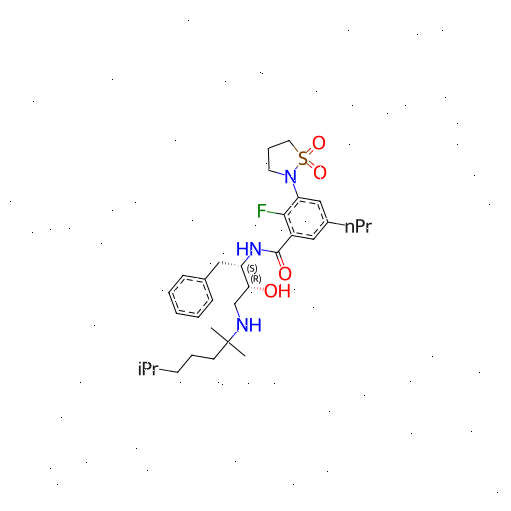 CCCc1cc(C(=O)N[C@@H](Cc2ccccc2)[C@H](O)CNC(C)(C)CCCC(C)C)c(F)c(N2CCCS2(=O)=O)c1